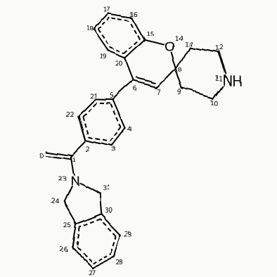 C=C(c1ccc(C2=CC3(CCNCC3)Oc3ccccc32)cc1)N1Cc2ccccc2C1